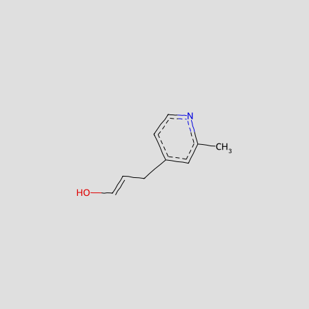 Cc1cc(CC=CO)ccn1